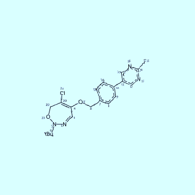 CC(C)(C)N1N=CC(OCc2ccc(-c3cnc(F)nc3)cc2)=C(Cl)CO1